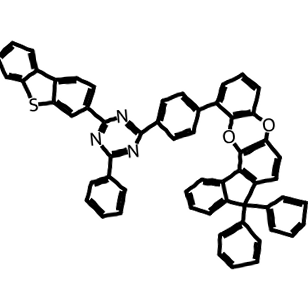 c1ccc(-c2nc(-c3ccc(-c4cccc5c4Oc4c(ccc6c4-c4ccccc4C6(c4ccccc4)c4ccccc4)O5)cc3)nc(-c3ccc4c(c3)sc3ccccc34)n2)cc1